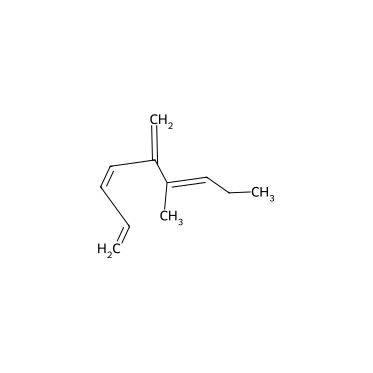 C=C/C=C\C(=C)/C(C)=C/CC